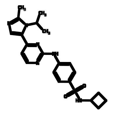 Cc1ncc(-c2ccnc(Nc3ccc(S(=O)(=O)NC4CCC4)cc3)n2)n1C(C)C